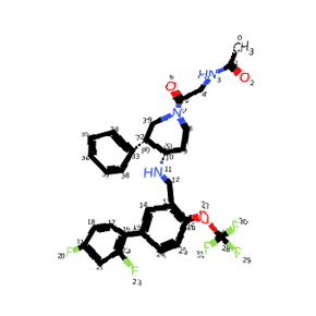 CC(=O)NCC(=O)N1CC[C@H](NCc2cc(-c3ccc(F)cc3F)ccc2OC(F)(F)F)[C@H](c2ccccc2)C1